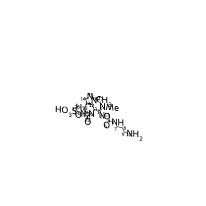 CN/C(=N\OC(=O)NCCCN)[C@@H]1c2c(cnn2C)[C@H]2CN1C(=O)N2OS(=O)(=O)O